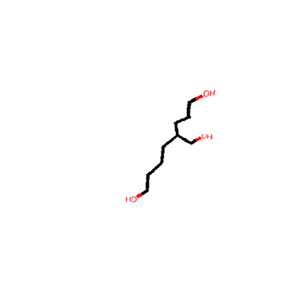 OCCCCC(CO)CCCO